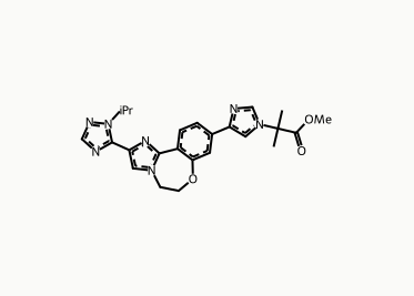 COC(=O)C(C)(C)n1cnc(-c2ccc3c(c2)OCCn2cc(-c4ncnn4C(C)C)nc2-3)c1